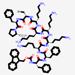 CC(C)C[C@H](NC(=O)[C@H](CCCCN)NC(=O)[C@H](CCCCN)NC(=O)[C@H](CCCCN)NC(=O)[C@H](CCCCN)NC(=O)[C@H](CCCCN)NC(=O)[C@@H](Cc1ccccc1)NC(=O)[C@H](Cc1ccccc1)NC(=O)OCC1c2ccccc2-c2ccccc21)C(=O)N[C@H](Cc1ccccc1)C(=O)N1CCC[C@H]1C(=O)O